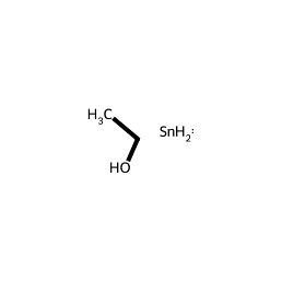 CCO.[SnH2]